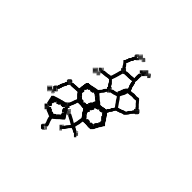 CCN1C(N)C2=C(C(c3ccc(C(F)(F)F)cc3)COC2)N(c2ccc(-n3cnc(Cl)c3)c(OC)c2)C1N